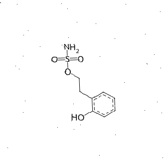 NS(=O)(=O)OCCc1ccccc1O